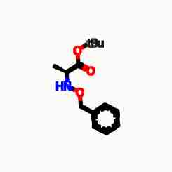 C[C@H](NOCc1ccccc1)C(=O)OC(C)(C)C